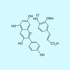 COc1cc(/C=C/C(=O)O)ccc1O.Oc1ccc(-c2[o+]c3cc(O)cc(O)c3cc2O)cc1.[Cl-]